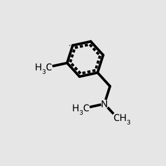 Cc1[c]ccc(CN(C)C)c1